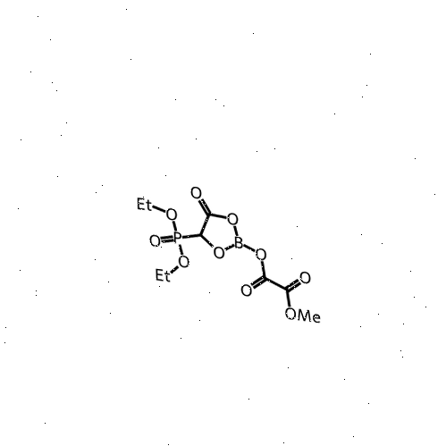 CCOP(=O)(OCC)C1OB(OC(=O)C(=O)OC)OC1=O